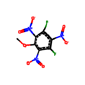 COc1c([N+](=O)[O-])c(F)c([N+](=O)[O-])c(F)c1[N+](=O)[O-]